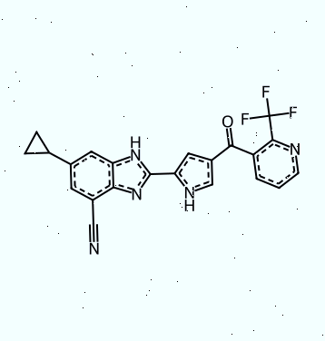 N#Cc1cc(C2CC2)cc2[nH]c(-c3cc(C(=O)c4cccnc4C(F)(F)F)c[nH]3)nc12